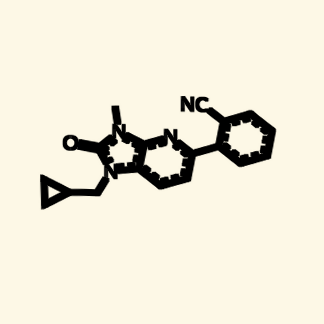 Cn1c(=O)n(CC2CC2)c2ccc(-c3ccccc3C#N)nc21